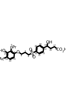 CCCc1c(OCCCS(=O)(=O)c2ccc(C(O)CCC(=O)O)cc2)ccc(C(C)=O)c1O